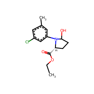 CCOC(=O)[C@H]1CCC(O)N1c1cc(C)cc(Cl)c1